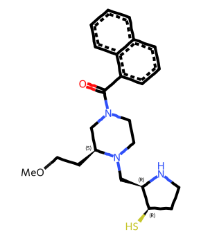 COCC[C@H]1CN(C(=O)c2cccc3ccccc23)CCN1C[C@H]1NCC[C@H]1S